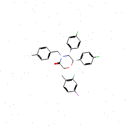 COc1ccc(CN2C(=O)[C@@H](Cc3ccc(I)cc3F)O[C@H](c3ccc(Cl)cc3)[C@@H]2c2ccc(Cl)cc2)cc1